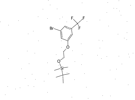 CC(C)(C)[Si](C)(C)OCCOc1cc(Br)cc(C(F)(F)F)c1